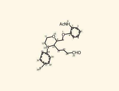 CC(=O)Nc1ccccc1OCC1OCCN(c2ccc(F)cc2)C1CCCC=O